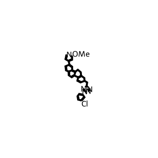 COc1cc(-c2ccc3ccc4c(c3c2)CCC2=C4C=CC(Cc3nnn(-c4cccc(Cl)c4)n3)C2)ccn1